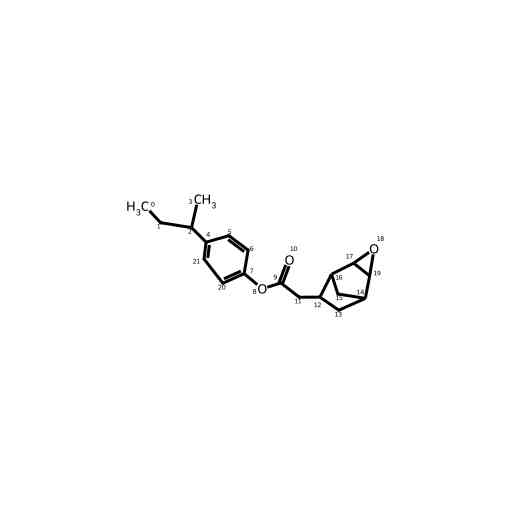 CCC(C)c1ccc(OC(=O)CC2CC3CC2C2OC32)cc1